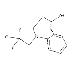 OC1CCN(CC(F)(F)F)c2ccccc21